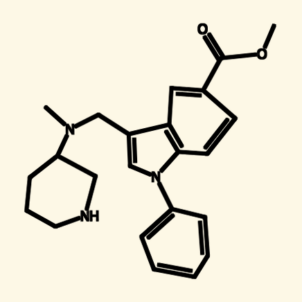 COC(=O)c1ccc2c(c1)c(CN(C)C1CCCNC1)cn2-c1ccccc1